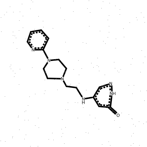 O=c1cc(NCCN2CCN(c3ccccn3)CC2)cn[nH]1